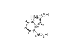 O=S(=O)(O)c1cccc2[nH]c(S)nc12